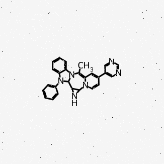 CC1=C2C=C(c3cncnc3)C=CN2C2NC2C2N1c1ccccc1N2c1ccccc1